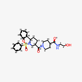 O=C(NCCO)C1CCN(C(=O)C2CCC(c3ccccc3)N(S(=O)(=O)c3ccccc3)C2)CC1